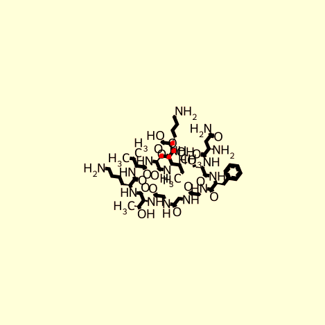 CC[C@H](C)[C@H](NC(=O)[C@H](CCC(=O)O)NC(=O)[C@@H](NC(=O)[C@H](CCCCN)NC(=O)[C@@H](NC(=O)CNC(=O)CNC(=O)CNC(=O)[C@H](Cc1ccccc1)NC(=O)[C@H](CO)NC(=O)[C@@H](N)CC(N)=O)[C@@H](C)O)C(C)C)C(=O)N[C@@H](CCCCN)C(=O)O